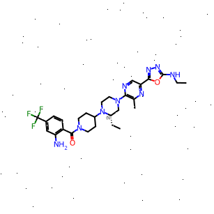 CCNc1nnc(-c2cnc(N3CCN(C4CCN(C(=O)c5ccc(C(F)(F)F)cc5N)CC4)[C@@H](CC)C3)c(C)n2)o1